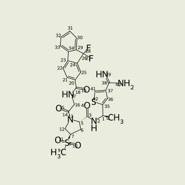 C[C@@H](NC(=O)[C@@H]1C[C@@H](S(C)(=O)=O)CN1C(=O)CNC(=O)c1ccc2c(c1)C(F)(F)c1ccccc1-2)c1cc(C(=N)N)cs1